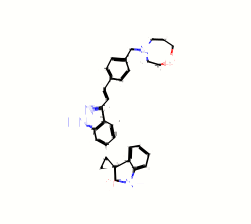 O=C1Nc2ccccc2[C@]12C[C@H]2c1ccc2c(C=Cc3ccc(CN4CCCOCC4)cc3)n[nH]c2c1